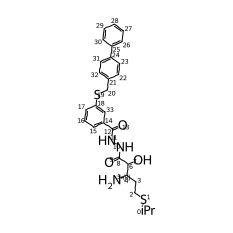 CC(C)SCC[C@@H](N)C(O)C(=O)NNC(=O)c1cccc(SCc2ccc(-c3ccccc3)cc2)c1